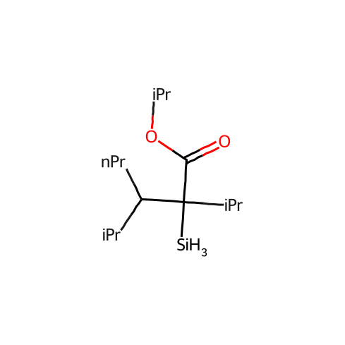 CCCC(C(C)C)C([SiH3])(C(=O)OC(C)C)C(C)C